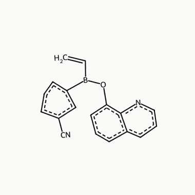 C=CB(Oc1cccc2cccnc12)c1cccc(C#N)c1